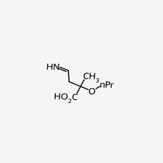 CCCOC(C)(CC=N)C(=O)O